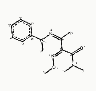 CON=C(C(=O)N(C)C)C(C)=NN(C)c1ccccc1